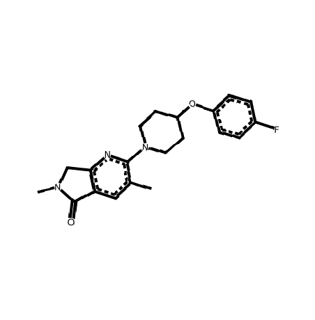 Cc1cc2c(nc1N1CCC(Oc3ccc(F)cc3)CC1)CN(C)C2=O